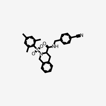 Cc1cc(C)c(S(=O)(=O)N2Cc3ccccc3CC2C(=O)NCc2ccc(C#N)cc2)c(C)c1